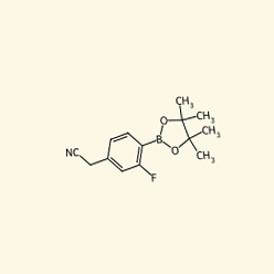 CC1(C)OB(c2ccc(CC#N)cc2F)OC1(C)C